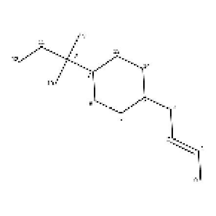 CC=CCC1CCC(C(C)(C)CC)CC1